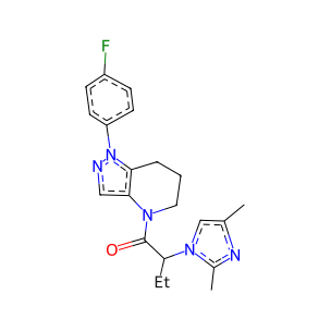 CCC(C(=O)N1CCCc2c1cnn2-c1ccc(F)cc1)n1cc(C)nc1C